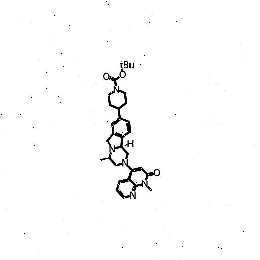 C[C@@H]1CN(c2cc(=O)n(C)c3ncccc23)C[C@@H]2c3ccc(C4CCN(C(=O)OC(C)(C)C)CC4)cc3CN12